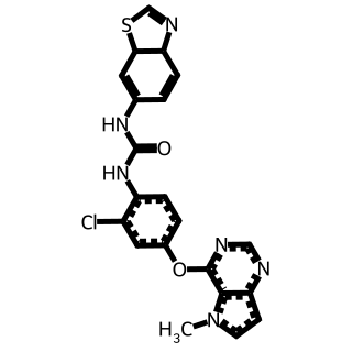 Cn1ccc2ncnc(Oc3ccc(NC(=O)NC4=CC5SC=NC5C=C4)c(Cl)c3)c21